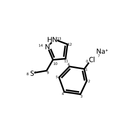 Clc1ccccc1.[Na+].[S-]Cc1cc[nH]n1